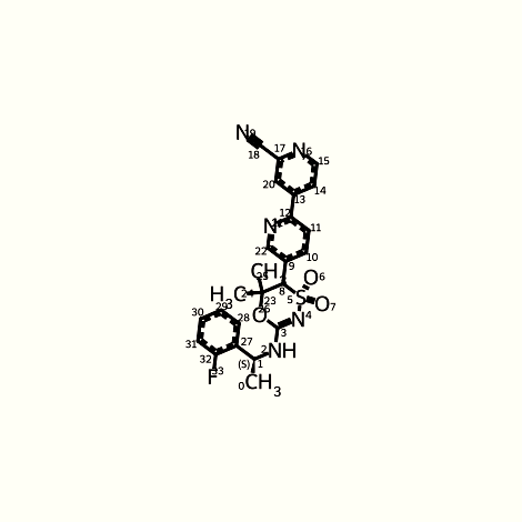 C[C@H](NC1=NS(=O)(=O)C(c2ccc(-c3ccnc(C#N)c3)nc2)C(C)(C)O1)c1ccccc1F